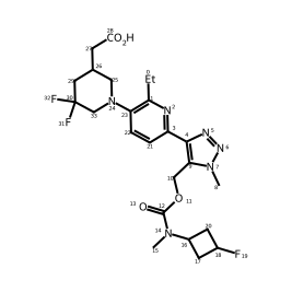 CCc1nc(-c2nnn(C)c2COC(=O)N(C)C2CC(F)C2)ccc1N1CC(CC(=O)O)CC(F)(F)C1